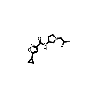 O=C(NC1CCN(CC(F)F)C1)c1cc(C2CC2)on1